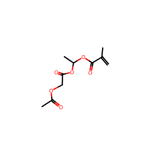 C=C(C)C(=O)OC(C)OC(=O)COC(C)=O